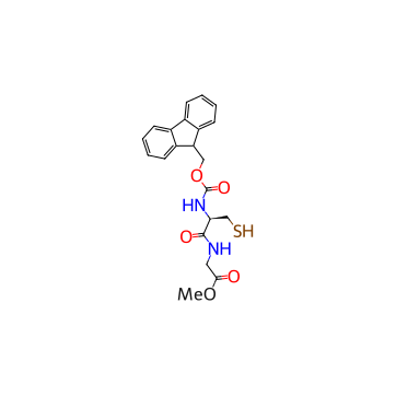 COC(=O)CNC(=O)[C@H](CS)NC(=O)OCC1c2ccccc2-c2ccccc21